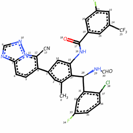 Cc1cc(-c2ccc3ncnn3c2C#N)cc(NC(=O)c2cc(F)cc(C(F)(F)F)c2)c1[C@@H](NC=O)c1cc(F)ccc1Cl